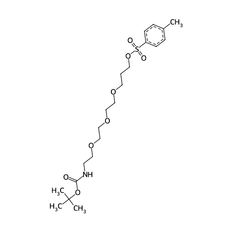 Cc1ccc(S(=O)(=O)OCCCOCCOCCOCCNC(=O)OC(C)(C)C)cc1